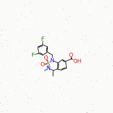 CC1c2ccc(C(=O)O)cc2N(Cc2cc(F)cc(F)c2)S(=O)(=O)N1C